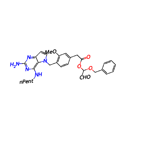 CCCCCNc1nc(N)nc2ccn(Cc3ccc(CC(=O)OC(C=O)OCc4ccccc4)cc3OC)c12